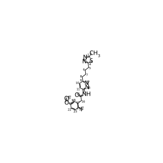 Cc1nnc(CCCCc2ccc(NC(=O)Cc3cc(OC(F)(F)F)ccc3F)nn2)s1